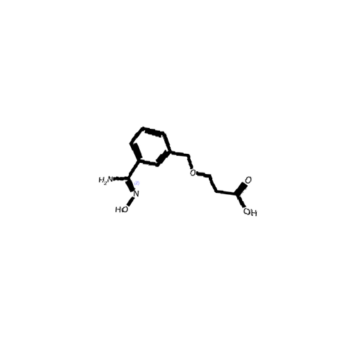 N/C(=N\O)c1cccc(COCCC(=O)O)c1